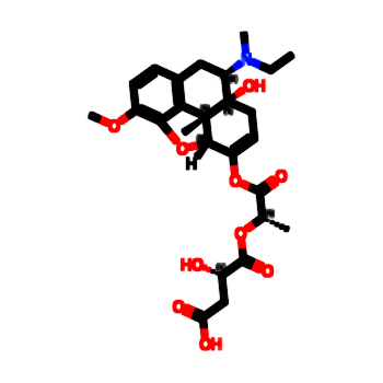 CCN(C)[C@@H]1Cc2ccc(OC)c3c2[C@@]2(C)[C@@H](O3)C(OC(=O)[C@H](C)OC(=O)[C@@H](O)CC(=O)O)=CC[C@@]12O